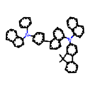 CC1(C)c2ccccc2-c2ccc(N(c3cccc4ccccc34)c3cccc4c(-c5ccc(N(c6ccccc6)c6cccc7ccccc67)cc5)cccc34)cc21